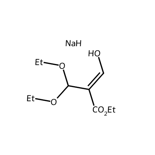 CCOC(=O)C(=CO)C(OCC)OCC.[NaH]